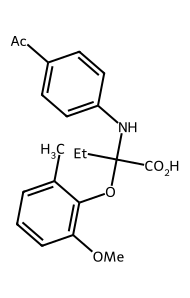 CCC(Nc1ccc(C(C)=O)cc1)(Oc1c(C)cccc1OC)C(=O)O